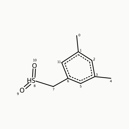 Cc1[c]c(C)cc(C[SH](=O)=O)c1